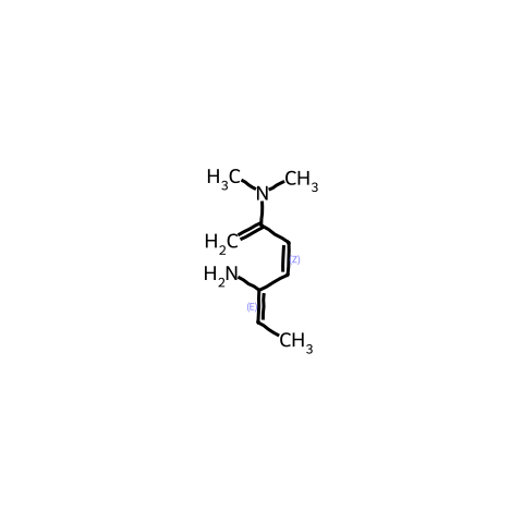 C=C(/C=C\C(N)=C/C)N(C)C